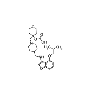 CC(C)COc1cccc2onc(NCC3CCN(CC4(OC(=O)O)CCOCC4)CC3)c12